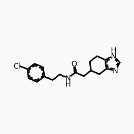 O=C(CC1CCc2[nH]cnc2C1)NCCc1ccc(Cl)cc1